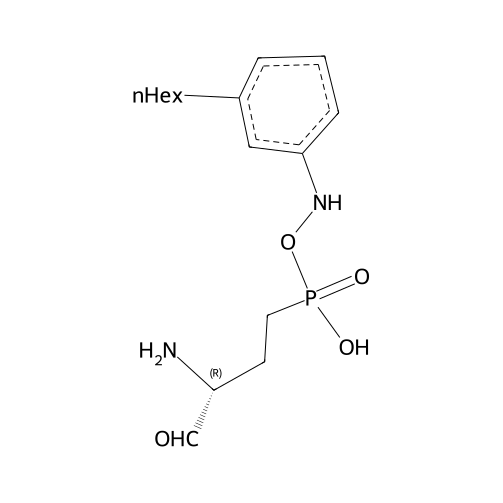 CCCCCCc1cccc(NOP(=O)(O)CC[C@@H](N)C=O)c1